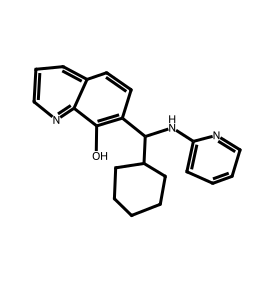 Oc1c(C(Nc2ccccn2)C2CCCCC2)ccc2cccnc12